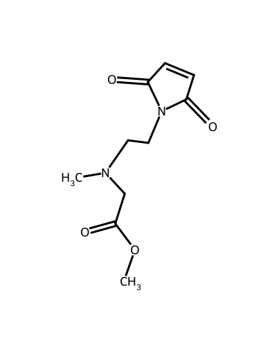 COC(=O)CN(C)CCN1C(=O)C=CC1=O